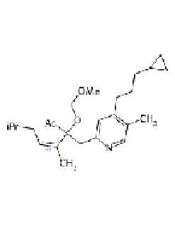 COCOC(Cc1cc(CCCC2CC2)c(C)cn1)(C(C)=O)/C(C)=C\CC(C)C